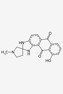 CN1CCC2(C1)Nc1ccc3c(c1N2)C(=O)c1c(O)cccc1C3=O